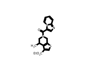 CCOC(=O)c1csc2c1C(C)CN(C(=O)c1cnc3ccccn13)C2